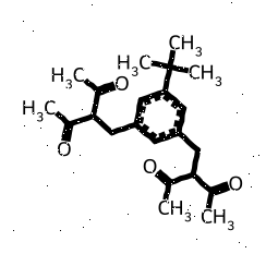 CC(=O)C(Cc1cc(CC(C(C)=O)C(C)=O)cc(C(C)(C)C)c1)C(C)=O